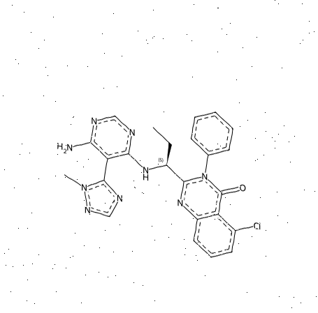 CC[C@H](Nc1ncnc(N)c1-c1ncnn1C)c1nc2cccc(Cl)c2c(=O)n1-c1ccccc1